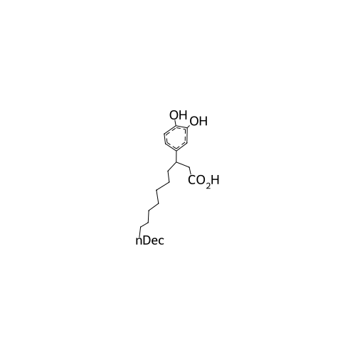 CCCCCCCCCCCCCCCCCC(CC(=O)O)c1ccc(O)c(O)c1